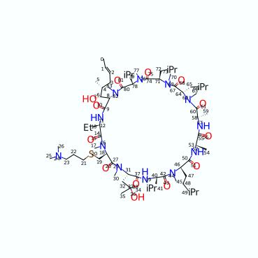 C/C=C/C[C@@H](C)[C@@H](O)[C@H]1C(=O)N[C@H](CC)C(=O)N(C)[C@H](CSCCCN(C)C)C(=O)N(C)[C@@H](CC(C)(C)O)C(=O)N[C@H](C(C)C)C(=O)N(C)[C@H](CCC(C)C)C(=O)N[C@H](C)C(=O)N[C@@H](C)C(=O)N(C)[C@@H](CC(C)C)C(=O)N(C)[C@H](CC(C)C)C(=O)N(C)[C@H](C(C)C)C(=O)N1C